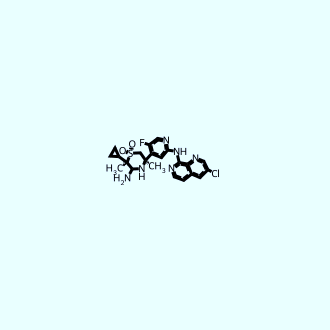 C[C@]1(C2CC2)C(N)N[C@](C)(c2cc(Nc3nccc4cc(Cl)cnc34)ncc2F)CS1(=O)=O